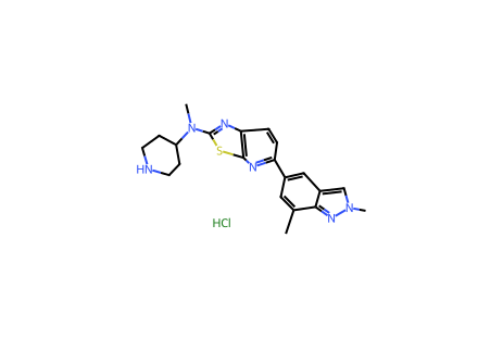 Cc1cc(-c2ccc3nc(N(C)C4CCNCC4)sc3n2)cc2cn(C)nc12.Cl